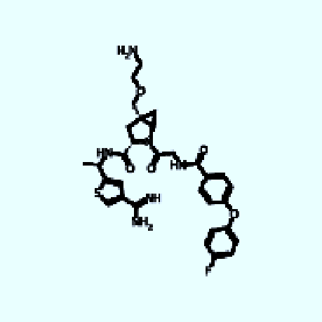 C[C@@H](NC(=O)[C@@H]1C[C@@]2(COCCN)CC2N1C(=O)CNC(=O)c1ccc(Oc2ccc(F)cc2)cc1)c1cc(C(=N)N)cs1